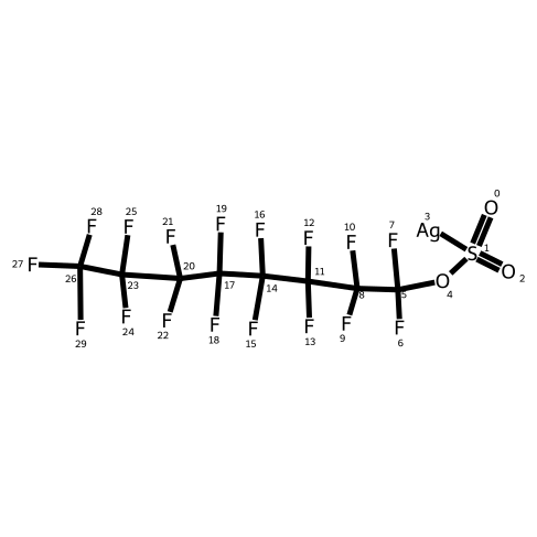 O=[S](=O)([Ag])OC(F)(F)C(F)(F)C(F)(F)C(F)(F)C(F)(F)C(F)(F)C(F)(F)C(F)(F)F